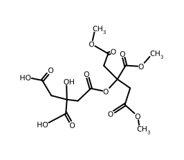 COC(=O)CC(CC(=O)OC)(OC(=O)CC(O)(CC(=O)O)C(=O)O)C(=O)OC